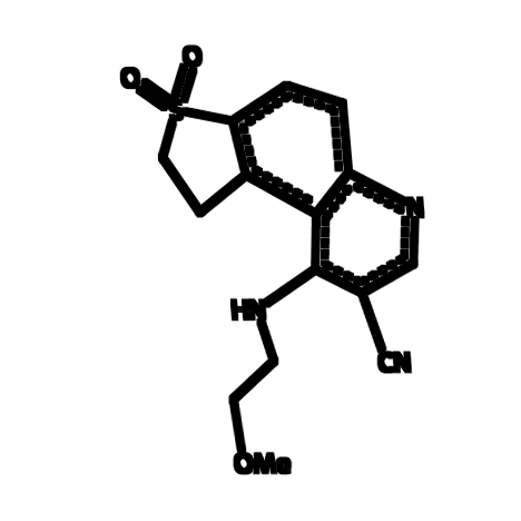 COCCNc1c(C#N)cnc2ccc3c(c12)CCS3(=O)=O